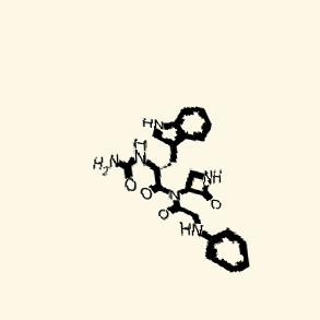 NC(=O)N[C@H](Cc1c[nH]c2ccccc12)C(=O)N(C(=O)CNc1ccccc1)C1CNC1=O